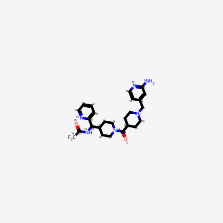 Nc1cc(CN2CCC(C(=O)N3CCC(C(NC(=O)C(F)(F)F)c4ccccn4)CC3)CC2)ccn1